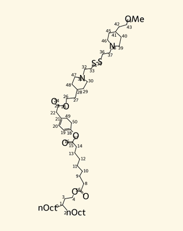 CCCCCCCCC(CCCCCCCC)CCOC(=O)CCCCCCCC(=O)OC1=CC=C(CC(=O)OCCC2CCN(CCSSCCN3CCC(CCOC)CC3)CC2)CC1